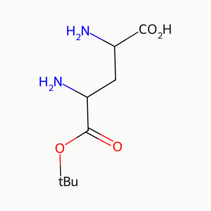 CC(C)(C)OC(=O)C(N)CC(N)C(=O)O